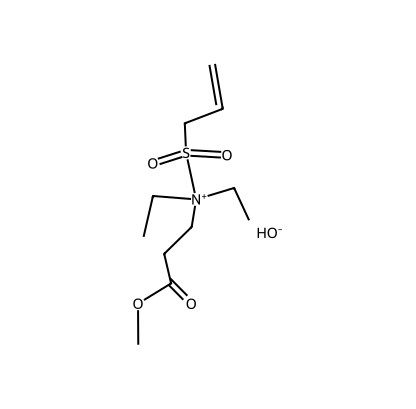 C=CCS(=O)(=O)[N+](CC)(CC)CCC(=O)OC.[OH-]